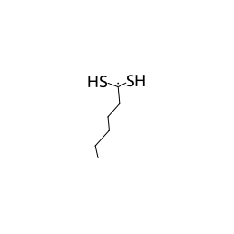 CCCCC[C](S)S